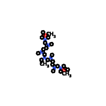 Cc1cccc(N(c2ccc3c4c5ccc6c(c5ccc4n(-c4ccccc4)c3c2)c2ccc(N(c3cccc(C)c3)c3cccc4c3oc3ccccc34)cc2n6-c2ccccc2)c2ccc3c4c5ccc6c(c5ccc4n(-c4ccccc4)c3c2)c2ccc(N(c3cccc(C)c3)c3cccc4c3oc3ccccc34)cc2n6-c2ccccc2)c1